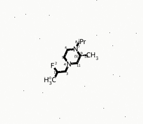 CC(F)CN1CCN(C(C)C)[C@@H](C)C1